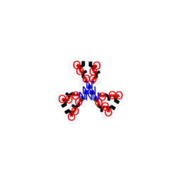 C=CC(=O)OC(C)COCN(COCC(C)OC(=O)C=C)c1nc(N(COCC(C)OC(=O)C=C)COCC(C)OC(=O)C=C)nc(N(COCC(C)OC(=O)C=C)COCC(C)OC(=O)C=C)n1